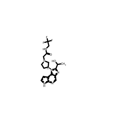 CC(O)c1nc2cnc3[nH]ccc3c2n1[C@H]1CCN(CC(=O)NCC(F)(F)F)C1